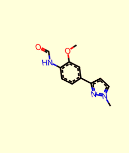 COc1cc(-c2ccn(C)n2)ccc1NC=O